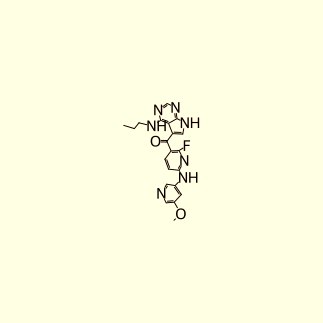 CCCNc1ncnc2[nH]cc(C(=O)c3ccc(Nc4cncc(OC)c4)nc3F)c12